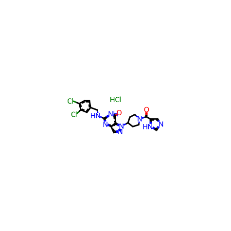 Cl.O=C(c1cnc[nH]1)N1CCC(n2ncc3nc(NCc4ccc(Cl)c(Cl)c4)[nH]c(=O)c32)CC1